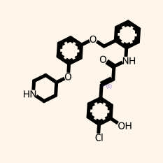 O=C(/C=C/c1ccc(Cl)c(O)c1)Nc1ccccc1COc1cccc(OC2CCNCC2)c1